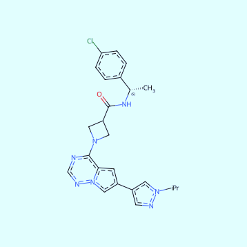 CC(C)n1cc(-c2cc3c(N4CC(C(=O)N[C@@H](C)c5ccc(Cl)cc5)C4)ncnn3c2)cn1